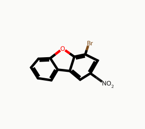 O=[N+]([O-])c1cc(Br)c2oc3ccccc3c2c1